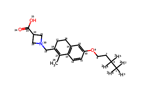 [2H]C([2H])([2H])C([2H])([2H])CCOc1ccc2c(c1)CCC(CN1CC(C(=O)O)C1)=C2C